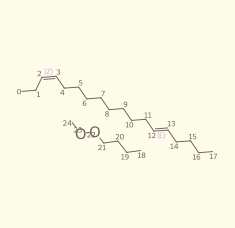 CC/C=C\CCCCCCCC/C=C/CCCC.CCCCOOC